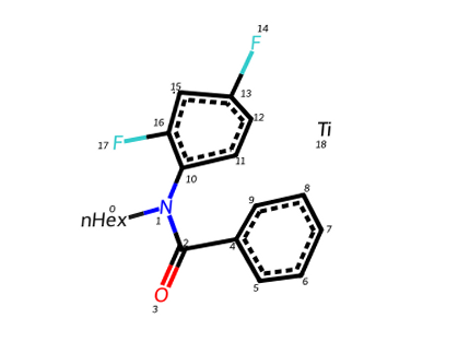 CCCCCCN(C(=O)c1ccccc1)c1ccc(F)[c]c1F.[Ti]